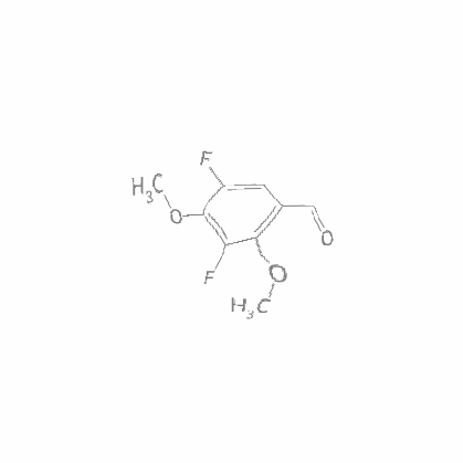 COc1c(F)cc(C=O)c(OC)c1F